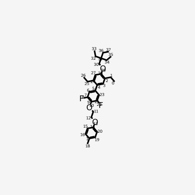 CCc1cc(-c2cc(F)c(OCCOc3ccc(C)cc3)c(F)c2)c(CC)cc1OCC(CC)(CC)CC